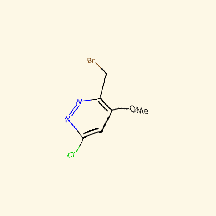 COc1cc(Cl)nnc1CBr